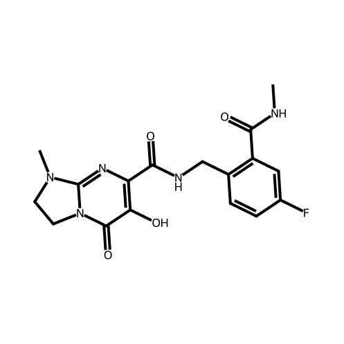 CNC(=O)c1cc(F)ccc1CNC(=O)c1nc2n(c(=O)c1O)CCN2C